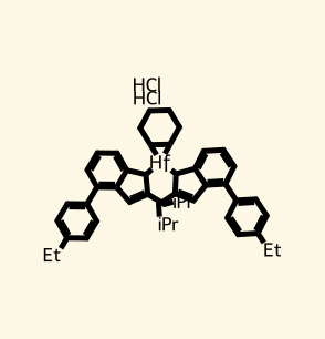 CCc1ccc(-c2cccc3c2C=C(CC(C)C)[CH]3[Hf]2([CH]3C(CC(C)C)=Cc4c(-c5ccc(CC)cc5)cccc43)[CH]3CCCC[CH]32)cc1.Cl.Cl